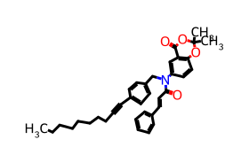 CCCCCCCCC#Cc1ccc(CN(C(=O)/C=C/c2ccccc2)c2ccc3c(c2)C(=O)OC(C)(C)O3)cc1